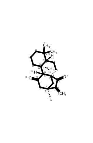 C=C1C(=O)[C@]23CC[C@H]4C(C)(C)CCC[C@]4(C)[C@H]2C(=O)C[C@H]1C3